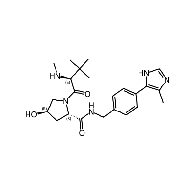 CN[C@H](C(=O)N1C[C@H](O)C[C@H]1C(=O)NCc1ccc(-c2[nH]cnc2C)cc1)C(C)(C)C